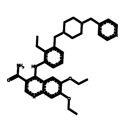 CCOc1cc2ncc(C(N)=O)c(Nc3cccc(CN4CCN(Cc5ccncc5)CC4)c3CC)c2cc1OCC